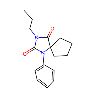 CCCN1C(=O)N(c2ccccc2)C2(CCCC2)C1=O